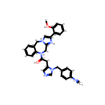 [C-]#[N+]c1ccc(Cn2cncc2CC(=O)N2Cc3nc(-c4ccccc4OC)cn3Cc3ccccc32)cc1